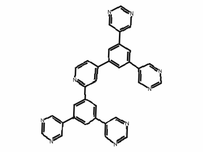 c1ncc(-c2cc(-c3cncnc3)cc(-c3ccnc(-c4cc(-c5cncnc5)cc(-c5cncnc5)c4)c3)c2)cn1